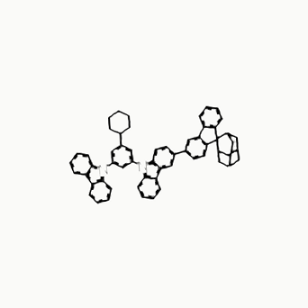 c1ccc2c(c1)-c1cc(-c3ccc4c(c3)c3ccccc3n4-c3cc(C4CCCCC4)cc(-n4c5ccccc5c5ccccc54)c3)ccc1C21C2CC3CC(C2)CC1C3